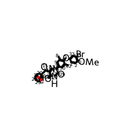 COc1ccc(Oc2c(C)cc(-n3nc(C(=O)N4CC5CCC(CC5)C4)c(=O)[nH]c3=O)cc2C)cc1Br